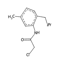 Cc1ccc(CC(C)C)c(NC(=O)CCl)c1